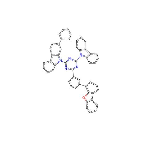 c1ccc(-c2ccc3c4ccccc4n(-c4nc(-c5cccc(-c6cccc7c6oc6ccccc67)c5)nc(-n5c6ccccc6c6ccccc65)n4)c3c2)cc1